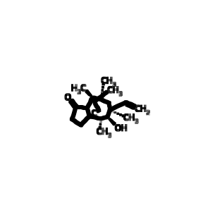 C=C[C@]1(C)C[C@@H](C)[C@]2(C)C(C)CC[C@]3(CCC(=O)C32)[C@@H](C)[C@@H]1O